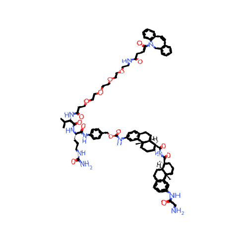 CC(C)[C@H](NC(=O)CCOCCOCCOCCOCCNC(=O)CCC(=O)N1Cc2ccccc2C#Cc2ccccc21)C(=O)N[C@@H](CCCNC(N)=O)C(=O)Nc1ccc(COC(=O)Nc2ccc3c(c2)[C@@]2(C)CCC[C@](C)(C(=O)NC(=O)[C@@]4(C)CCC[C@]5(C)c6cc(NC(=O)CN)ccc6CC[C@@H]45)[C@@H]2CC3)cc1